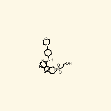 O=S(=O)(CCO)N1CCc2sc3ncnc(NC4CCC(N5CCOCC5)CC4)c3c2C1